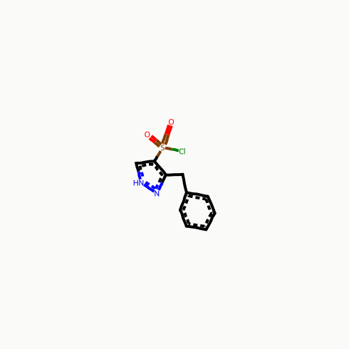 O=S(=O)(Cl)c1c[nH]nc1Cc1ccccc1